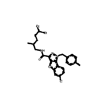 CCC(CC)CCC(C)CNC(=O)c1nn(Cc2ccc(C)cc2)c2c1oc1cc(Cl)ccc12